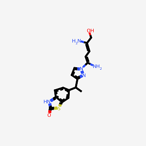 CC(c1ccc2[nH]c(=O)sc2c1)c1ccn(/C(N)=C/C=C(\N)CO)n1